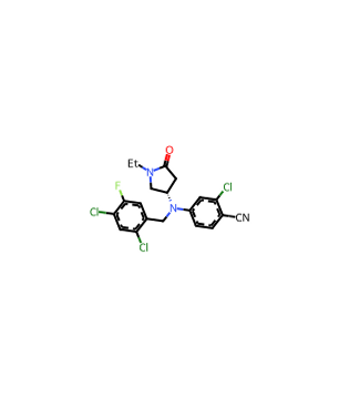 CCN1C[C@@H](N(Cc2cc(F)c(Cl)cc2Cl)c2ccc(C#N)c(Cl)c2)CC1=O